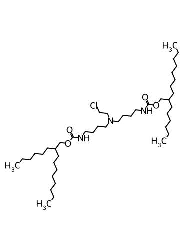 CCCCCCCCC(CCCCCC)COC(=O)NCCCCN(CCCl)CCCCNC(=O)OCC(CCCCCC)CCCCCCCC